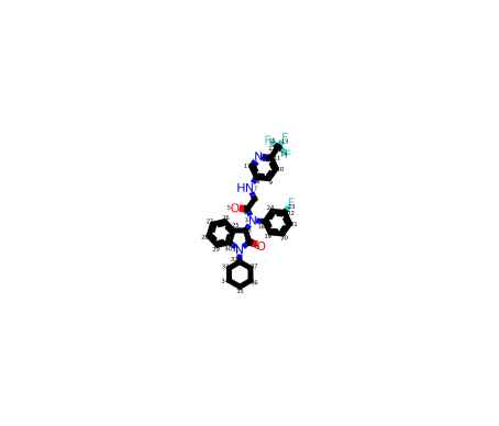 O=C1C(N(C(=O)CNc2ccc(C(F)(F)F)nc2)c2cccc(F)c2)c2ccccc2N1C1CCCCC1